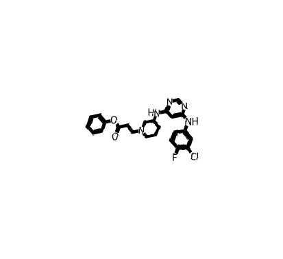 O=C(CCN1CCCC(Nc2cc(Nc3ccc(F)c(Cl)c3)ncn2)C1)Oc1ccccc1